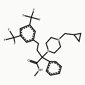 CNC(=O)C(CCc1cc(C(F)(F)F)cc(C(F)(F)F)c1)(c1ccccc1)N1CCN(CC2CC2)CC1